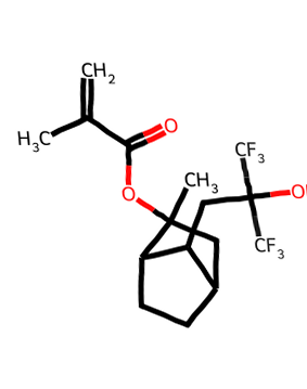 C=C(C)C(=O)OC1(C)CC2CCC1C2CC(O)(C(F)(F)F)C(F)(F)F